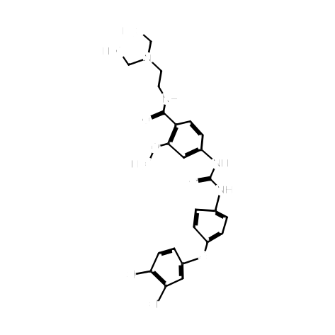 CCN(CC)CCNC(=O)c1ccc(NC(=O)Nc2ccc(Oc3ccc(Cl)c(Cl)c3)cc2)cc1OC